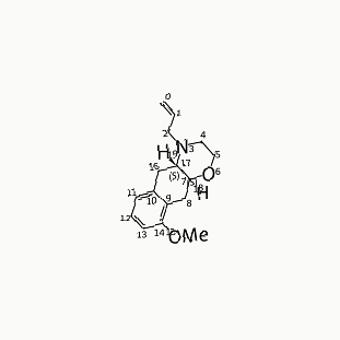 C=CCN1CCO[C@H]2Cc3c(cccc3OC)C[C@@H]21